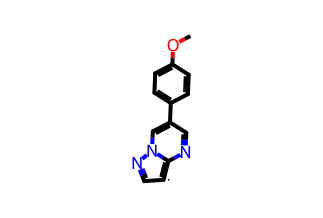 COc1ccc(-c2cnc3[c]cnn3c2)cc1